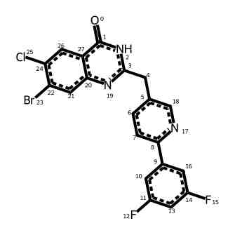 O=c1[nH]c(Cc2ccc(-c3cc(F)cc(F)c3)nc2)nc2cc(Br)c(Cl)cc12